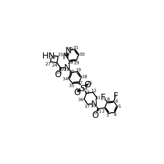 O=C(c1cccc(F)c1F)N1CCC(S(=O)(=O)c2ccc(N(C(=O)C3CNC3)c3cccnn3)cc2)CC1